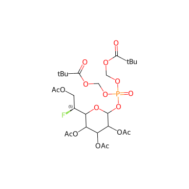 CC(=O)OC[C@H](F)C1OC(OP(=O)(OCOC(=O)C(C)(C)C)OCOC(=O)C(C)(C)C)C(OC(C)=O)C(OC(C)=O)C1OC(C)=O